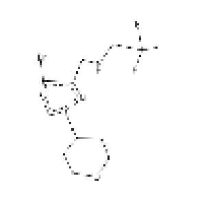 FC(F)(F)CNCc1nc(C2CCOCC2)ccc1Br